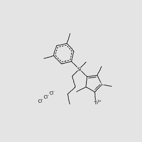 CCCC[Si](C)(C1=C(C)C(C)=[C]([Ti+3])C1C)c1cc(C)cc(C)c1.[Cl-].[Cl-].[Cl-]